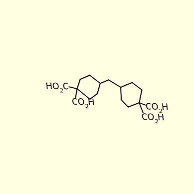 O=C(O)C1(C(=O)O)CCC(CC2CCC(C(=O)O)(C(=O)O)CC2)CC1